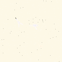 C[N@]1C[C@H]1N[C@H](C=O)CO